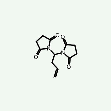 [CH]=CCC(N1C(=O)CCC1=O)N1C(=O)CCC1=O